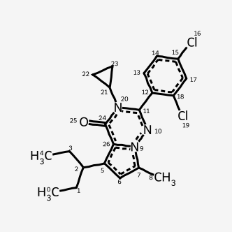 CCC(CC)c1cc(C)n2nc(-c3ccc(Cl)cc3Cl)n(C3CC3)c(=O)c12